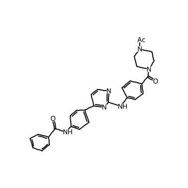 CC(=O)N1CCN(C(=O)c2ccc(Nc3nccc(-c4ccc(NC(=O)c5ccccc5)cc4)n3)cc2)CC1